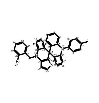 Cc1ccc(N2c3ccccc3C3(c4ccccc4N(Cc4ccccc4Br)c4ccsc43)c3ccccc32)cc1